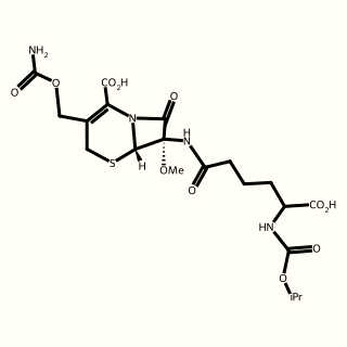 CO[C@@]1(NC(=O)CCCC(NC(=O)OC(C)C)C(=O)O)C(=O)N2C(C(=O)O)=C(COC(N)=O)CS[C@H]21